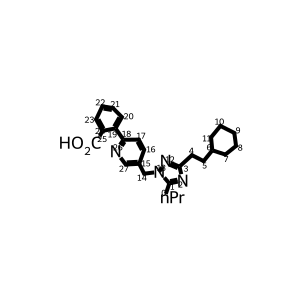 CCCc1nc(CCC2CCCCC2)nn1Cc1ccc(-c2ccccc2C(=O)O)nc1